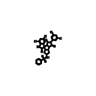 O=C1C2C3CC(NS(=O)(=O)c4ccccc4)CN3C3(C(=O)Nc4c(Cl)cc(Cl)cc43)C2C(=O)N1c1cc(Cl)cc(Cl)c1